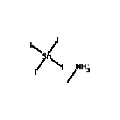 C[NH3+].[I][Sn]([I])([I])[I]